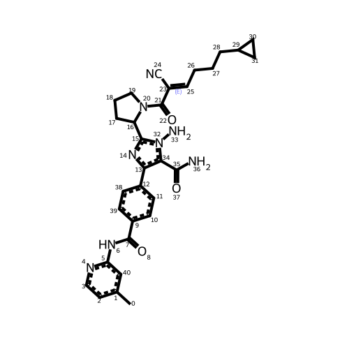 Cc1ccnc(NC(=O)c2ccc(-c3nc(C4CCCN4C(=O)/C(C#N)=C/CCCC4CC4)n(N)c3C(N)=O)cc2)c1